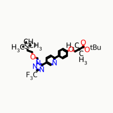 CC(C)(C)OC(=O)C(C)(C)COc1ccc(-c2ccc(-c3nc(C(F)(F)F)nn3COCC[Si](C)(C)C)cn2)cc1